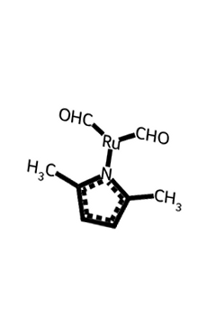 Cc1ccc(C)[n]1[Ru]([CH]=O)[CH]=O